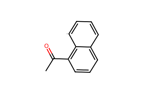 CC(=O)c1cccc2ccc[c]c12